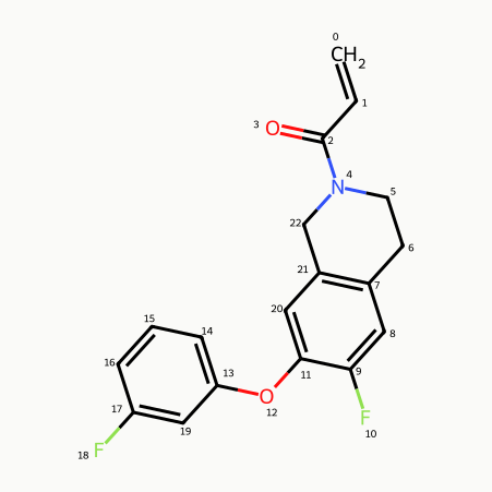 C=CC(=O)N1CCc2cc(F)c(Oc3cccc(F)c3)cc2C1